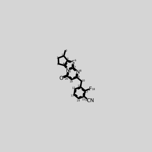 CC1CCc2c1sc1nc(Cc3cccc(C#N)c3F)cc(=O)n21